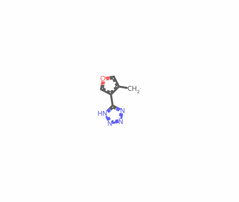 [CH2]c1cocc1-c1nnn[nH]1